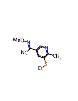 CCSc1cc(/C(C#N)=N/OC)cnc1C